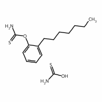 CCCCCCCc1ccccc1OC(N)=S.NC(O)=S